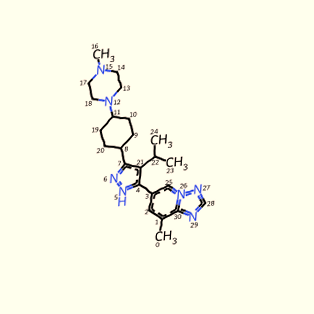 Cc1cc(-c2[nH]nc(C3CCC(N4CCN(C)CC4)CC3)c2C(C)C)cn2ncnc12